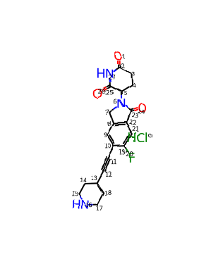 Cl.O=C1CCC(N2Cc3cc(C#CC4CCNCC4)c(F)cc3C2=O)C(=O)N1